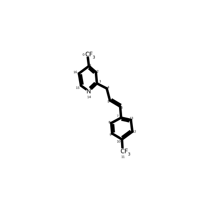 FC(F)(F)c1[c]c(CC=Cc2ccc(C(F)(F)F)cc2)ncc1